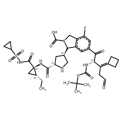 CC[C@@H]1C[C@]1(NC(=O)[C@@H]1C[C@@H](C2c3cc(C(=O)[C@@H](NC(=O)OC(C)(C)C)C(CC=O)=C4CCC4)cc(F)c3CN2C(=O)O)CN1)C(=O)NS(=O)(=O)C1CC1